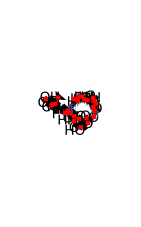 CO[C@H]1/C=C/O[C@@]2(C)Oc3c(C)c(O)c4c(c3C2=O)C(=O)C(N2CCC(N3CCN(c5c(F)cn6c(=O)c(C(=O)O)cc(C7CC7)c6c5C)CC3)C2)=C(NC(=O)/C(C)=C\C=C\[C@H](C)[C@H](O)[C@@H](C)[C@@H](O)[C@@H](C)[C@H](OC(C)=O)[C@@H]1C)C4=O